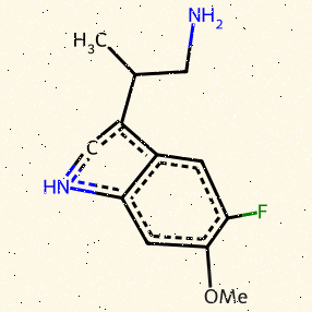 COc1cc2[nH]cc(C(C)CN)c2cc1F